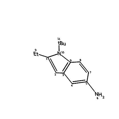 CCc1cc2cc(N)ccc2n1C(C)(C)C